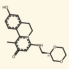 Cc1c2n(c(NC[C@@H]3COCCO3)cc1=O)CCc1cc(O)ccc1-2